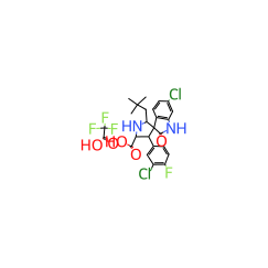 CC(C)(C)CC1NC(C(=O)O)C(c2ccc(F)c(Cl)c2)C12C(=O)Nc1cc(Cl)ccc12.O=C(O)C(F)(F)F